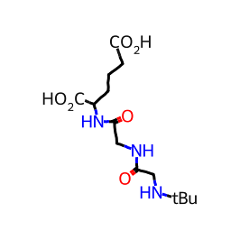 CC(C)(C)NCC(=O)NCC(=O)NC(CCCC(=O)O)C(=O)O